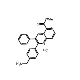 CNC(=O)c1nccc2nc(-c3ccc(CN)cc3)c(-c3ccccc3)cc12.Cl